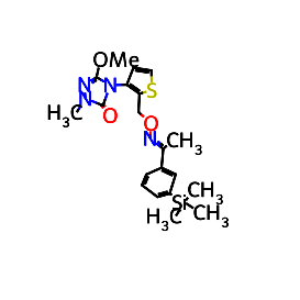 COc1nn(C)c(=O)n1-c1ccsc1CON=C(C)c1cccc([Si](C)(C)C)c1